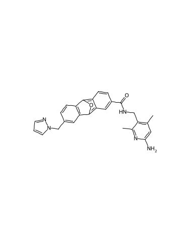 Cc1cc(N)nc(C)c1CNC(=O)c1ccc2c(c1)c1oc2c2ccc(Cn3cccn3)cc21